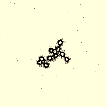 C1=CC(C2=NC(C3C=CC(c4ccccc4)=CC3)CC(c3ccccc3)=N2)=C(c2cccc3oc4cc(N(c5ccccc5)c5cccc6ccccc56)ccc4c23)CC1